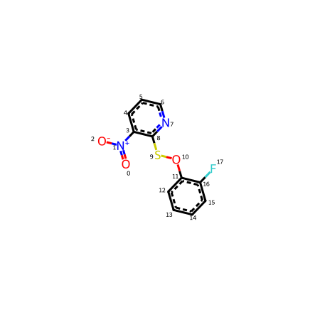 O=[N+]([O-])c1cccnc1SOc1ccccc1F